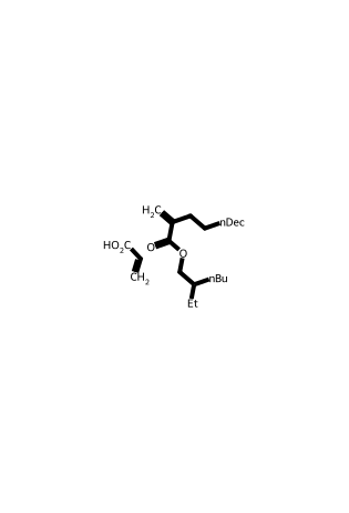 C=C(CCCCCCCCCCCC)C(=O)OCC(CC)CCCC.C=CC(=O)O